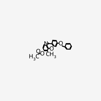 CC(=O)Oc1cccc(Oc2cc(OCc3ccccc3)ccc2C#N)c1C